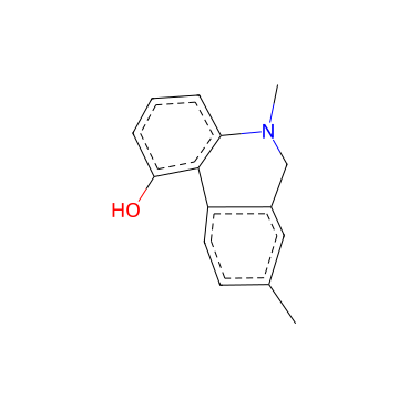 Cc1ccc2c(c1)CN(C)c1cccc(O)c1-2